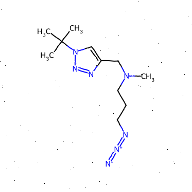 CN(CCCN=[N+]=[N-])Cc1cn(C(C)(C)C)nn1